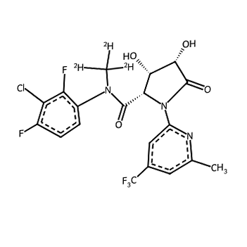 [2H]C([2H])([2H])N(C(=O)[C@@H]1[C@H](O)[C@H](O)C(=O)N1c1cc(C(F)(F)F)cc(C)n1)c1ccc(F)c(Cl)c1F